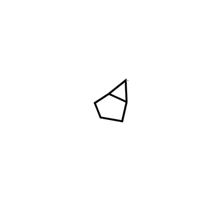 [CH]1C2CCCC12